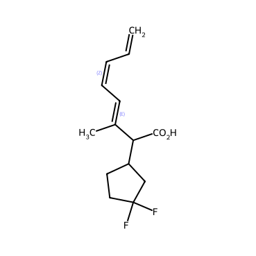 C=C/C=C\C=C(/C)C(C(=O)O)C1CCC(F)(F)C1